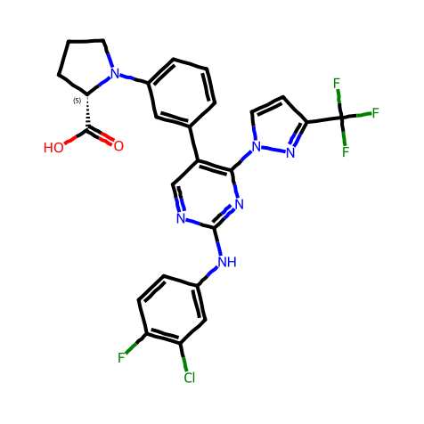 O=C(O)[C@@H]1CCCN1c1cccc(-c2cnc(Nc3ccc(F)c(Cl)c3)nc2-n2ccc(C(F)(F)F)n2)c1